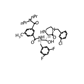 CCCN(CCC)C(=O)c1cc(C)cc(C(=O)N[C@@H](Cc2cc(F)cc(F)c2)C(O)[C@@H]2NCCN(Cc3cccc(Cl)c3)C2=O)c1